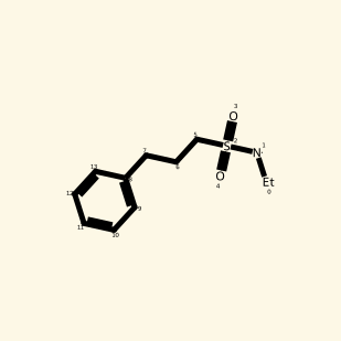 CC[N]S(=O)(=O)CCCc1ccccc1